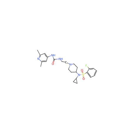 Cc1cc(NC(=O)NCCN2CCC(N(C3CC3)S(=O)(=O)c3ccccc3F)CC2)cc(C)n1